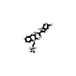 CS(=O)(=O)NCCN1C(=O)C(NC(=O)c2cc3cc(Cl)ncc3[nH]2)Cc2ccccc21